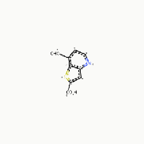 O=Cc1ccnc2cc(C(=O)O)sc12